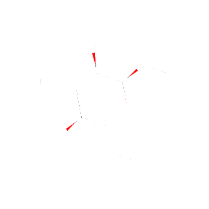 CO[C@H]1O[C@H](CBr)[C@@H](O)[C@H](O)[C@H]1O